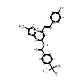 Cc1cc2nc(NC(=O)c3ccc(C(C)(C)O)cc3)cc(C=Cc3ccc(F)cc3)n2n1